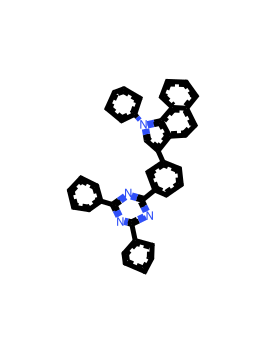 c1ccc(-c2nc(-c3ccccc3)nc(-c3cccc(-c4cn(-c5ccccc5)c5c4ccc4ccccc45)c3)n2)cc1